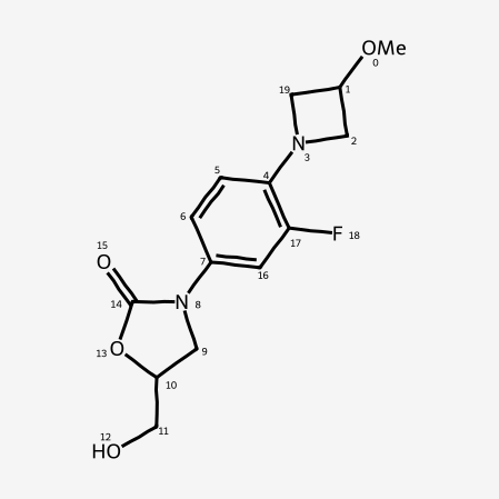 COC1CN(c2ccc(N3CC(CO)OC3=O)cc2F)C1